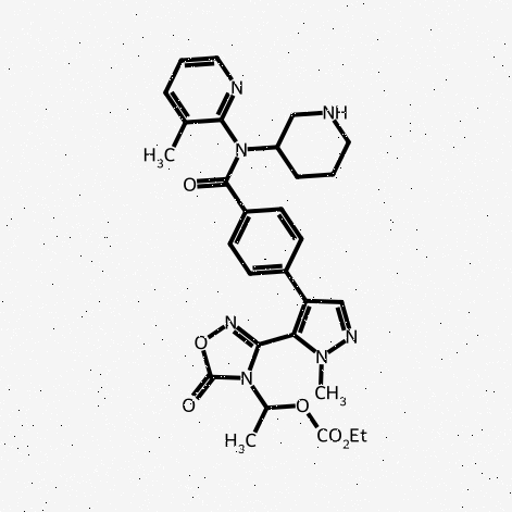 CCOC(=O)OC(C)n1c(-c2c(-c3ccc(C(=O)N(c4ncccc4C)C4CCCNC4)cc3)cnn2C)noc1=O